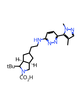 Cc1cnn(C)c1-c1ccc(NCCC2C[C@H]3CN(C(=O)O)C(C(C)(C)C)[C@H]3C2)nn1